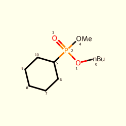 CCCCOP(=O)(OC)C1CCCCC1